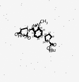 Cn1nc(N2CCC(=O)NC2=O)c2ccc([C@@H]3CCN(C(=O)OC(C)(C)C)C3)cc21